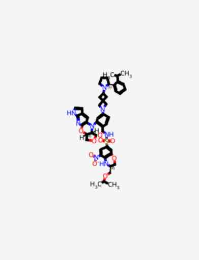 CC(C)OC[C@@H]1COc2cc(S(=O)(=O)NC(=O)c3ccc(N4CC5(CC(N6CCC[C@H]6c6ccccc6C(C)C)C5)C4)cc3N3c4cc5cc[nH]c5nc4O[C@H]4COC[C@@H]43)cc([N+](=O)[O-])c2N1